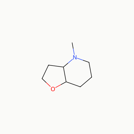 CN1CCCC2OCCC21